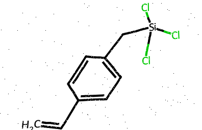 C=Cc1ccc(C[Si](Cl)(Cl)Cl)cc1